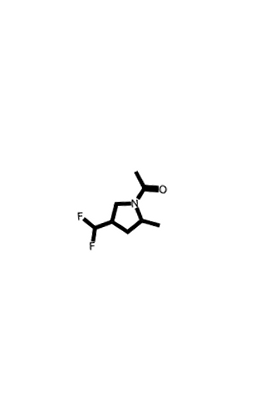 CC(=O)N1CC(C(F)F)CC1C